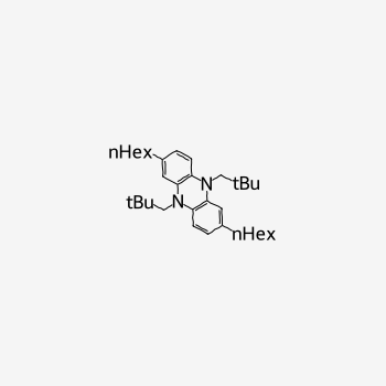 CCCCCCc1ccc2c(c1)N(CC(C)(C)C)c1ccc(CCCCCC)cc1N2CC(C)(C)C